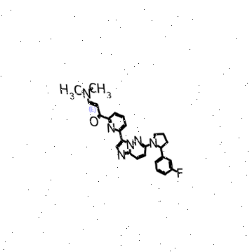 CN(C)/C=C/C(=O)c1cccc(-c2cnc3ccc(N4CCCC4c4cccc(F)c4)nn23)n1